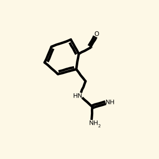 N=C(N)NCc1ccccc1[C]=O